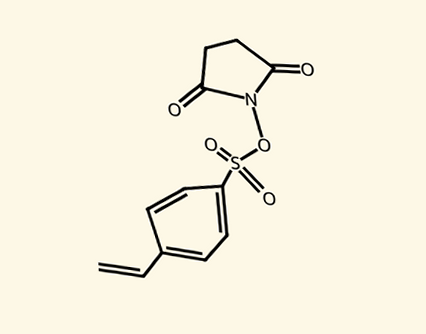 C=Cc1ccc(S(=O)(=O)ON2C(=O)CCC2=O)cc1